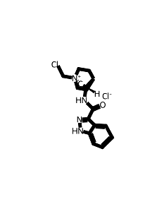 O=C(N[C@@H]1C[N+]2(CCl)CCC1CC2)c1n[nH]c2ccccc12.[Cl-]